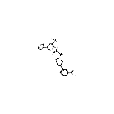 O=C(O)c1cccc(C2CCN(C(=O)c3nc4c(C(F)(F)F)cc(-c5ccoc5)cn4c3Cl)C2)c1